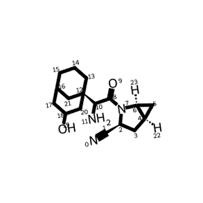 N#C[C@@H]1C[C@@H]2C[C@@H]2N1C(=O)C(N)[C@@]12CCCC(CC(O)C1)C2